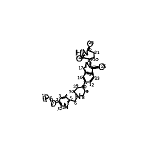 CC(C)Oc1ccc(CN2CCC(c3ccc4c(c3)CN(C3CCC(=O)NC3=O)C4=O)CC2)nc1